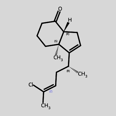 C/C(Cl)=C/C[C@@H](C)C1=CC[C@H]2C(=O)CCC[C@]12C